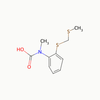 CSCSc1ccccc1N(C)C(=O)O